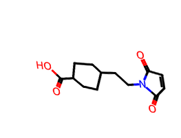 O=C(O)C1CCC(CCN2C(=O)C=CC2=O)CC1